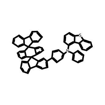 c1ccc(N(c2ccc(-c3ccc4c(c3)C3(c5ccccc5-4)c4ccccc4C4(c5ccccc5-c5ccccc54)c4ccccc43)cc2)c2cccc3sc4ccccc4c23)cc1